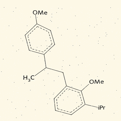 COc1ccc(C(C)Cc2cccc(C(C)C)c2OC)cc1